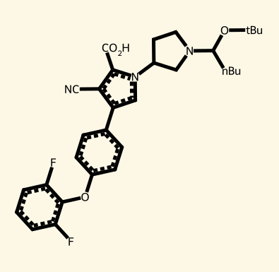 CCCCC(OC(C)(C)C)N1CCC(n2cc(-c3ccc(Oc4c(F)cccc4F)cc3)c(C#N)c2C(=O)O)C1